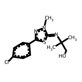 Cn1nc(-c2ccc(Cl)cc2)sc1=NC(C)(C)CO